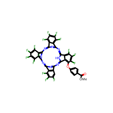 COC(=O)c1ccc(Oc2c(F)c(F)c(F)c3c4nc5nc(nc6c7c(F)c(F)c(F)c(F)c7c(nc7nc(nc([nH]4)c23)-c2cc(F)c(F)c(F)c2-7)n6F)-c2c(F)c(F)c(F)c(F)c2-5)cc1